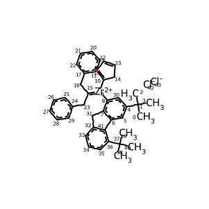 CC(C)(C)c1cc2c([c]([Zr+2]([C]3=CC=CC3)=[C](Cc3ccccc3)Cc3ccccc3)c1)Cc1cccc(C(C)(C)C)c1-2.[Cl-].[Cl-]